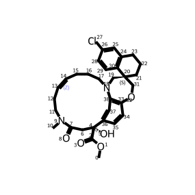 COC(=O)[C@@]1(O)CC(=O)N(C)CC/C=C\CCCN2C[C@@]3(CCCc4cc(Cl)ccc43)COc3ccc1cc32